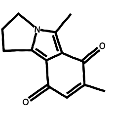 CC1=CC(=O)c2c(c(C)n3c2CCC3)C1=O